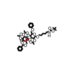 CC(=O)OC1C(OC(C)=O)[C@H](O[C@@H]2OC3COC(c4ccccc4)O[C@@H]3C(OC(C)=O)C2OC(C)=O)C(COc2ccccc2)O[C@H]1OCCCCCNC(=O)OC(C)(C)C